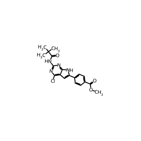 COC(=O)c1ccc(-c2cc3c(Cl)nc(NC(=O)C(C)(C)C)nc3[nH]2)cc1